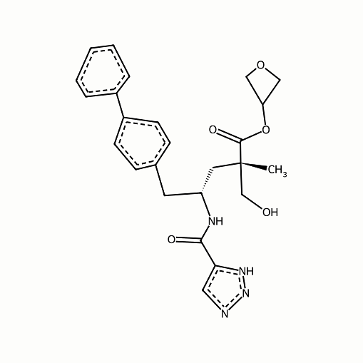 C[C@@](CO)(C[C@@H](Cc1ccc(-c2ccccc2)cc1)NC(=O)c1cnn[nH]1)C(=O)OC1COC1